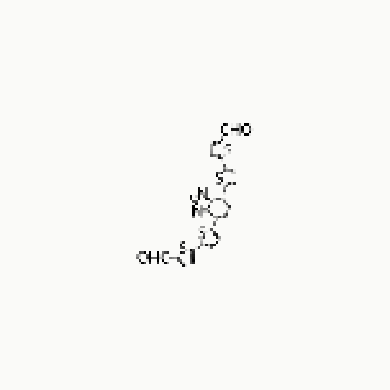 O=Cc1ccc(-c2ccc(-c3ccc(-c4ccc(-c5ccc(C=O)s5)s4)c4nsnc34)s2)s1